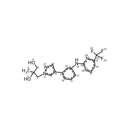 CC(O)(CO)Cn1cc(-c2cccc(Nc3nccc(C(F)(F)F)n3)c2)cn1